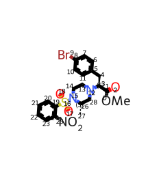 COC(=O)[C@H](Cc1ccc(Br)cc1)N1CCN(S(=O)(=O)c2ccccc2[N+](=O)[O-])[C@@H](C)C1